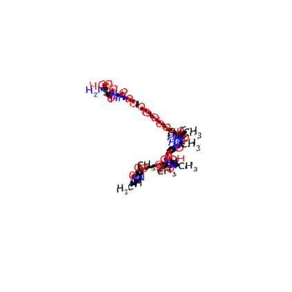 COc1cc2c(cc1OCCCCCOc1cc3c(cc1OC)C(=O)N1C=C(C)C[C@H]1[C@H](O)N3C(=O)OCc1ccc(NC(=O)[C@H](C)NC(=O)[C@@H](NC(=O)CCOCCOCCOCCOCCOCCOCCOCCOCCNC(=O)CCN3C(=O)C[C@@H](SC[C@H](N)C(=O)O)C3=O)C(C)C)cc1)N=C[C@@H]1CC(C)=CN1C2=O